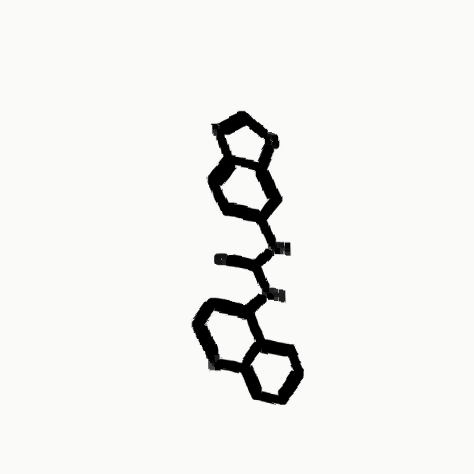 O=C(Nc1ccc2ncoc2c1)Nc1ccnc2ccccc12